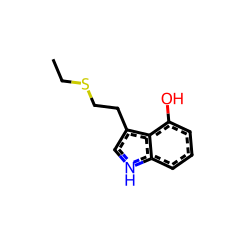 CCSCCc1c[nH]c2cccc(O)c12